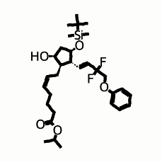 CC(C)OC(=O)CCC/C=C\C[C@@H]1[C@@H](/C=C/C(F)(F)COc2ccccc2)[C@H](O[Si](C)(C)C(C)(C)C)C[C@@H]1O